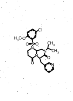 COc1ccc(Cl)cc1S(=O)(=O)N1CCC(=O)N2C(Cc3cccnc3)C(=O)N(C(C)C)CC21